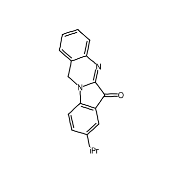 CC(C)c1ccc2c(c1)C(=O)C1=Nc3ccccc3CN12